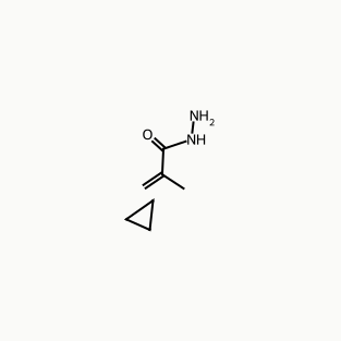 C1CC1.C=C(C)C(=O)NN